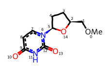 COC[C@@H]1CC[C@H](n2ccc(=O)[nH]c2=O)O1